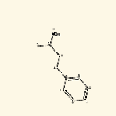 CCCC[C](C)CCc1ccccc1